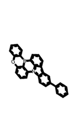 c1ccc(-c2ccc3c(c2)c2cccc4c2n3-c2cccc3c2B4c2ccccc2O3)cc1